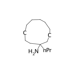 CCCC1(N)CCCCCCCCCC1